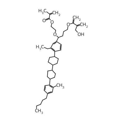 C=C(C)C(=O)OCCOC(CCCOC(=C)C(=C)CO)c1ccc(C2CCC(C3CCC(c4ccc(CCCCC)cc4C)CC3)CC2)c(CC)c1